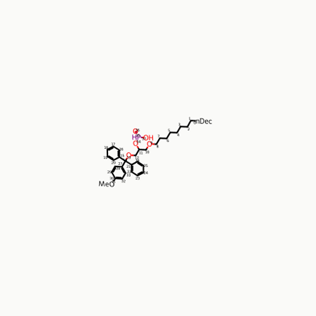 CCCCCCCCCCCCCCCCCCOCC(COC(c1ccccc1)(c1ccccc1)c1ccc(OC)cc1)O[PH](=O)O